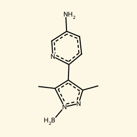 Bn1nc(C)c(-c2ccc(N)cn2)c1C